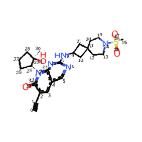 C#Cc1cc2cnc(NC3CC4(CCN(S(C)(=O)=O)CC4)C3)nc2n([C@@H]2CCC[C@@]2(C)O)c1=O